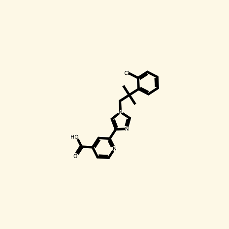 CC(C)(Cn1cnc(-c2cc(C(=O)O)ccn2)c1)c1ccccc1Cl